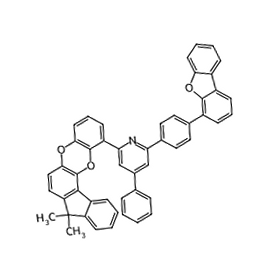 CC1(C)c2ccccc2-c2c1ccc1c2Oc2c(cccc2-c2cc(-c3ccccc3)cc(-c3ccc(-c4cccc5c4oc4ccccc45)cc3)n2)O1